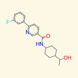 CC(O)C1CCC(NC(=O)c2ccc(-c3cccc(F)c3)nc2)CC1